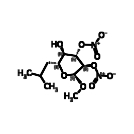 CO[C@H]1O[C@H](CC(C)C)[C@@H](O)[C@H](O[N+](=O)[O-])[C@H]1O[N+](=O)[O-]